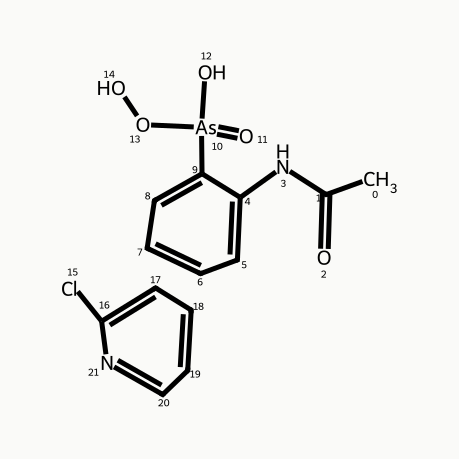 CC(=O)Nc1ccccc1[As](=O)(O)OO.Clc1ccccn1